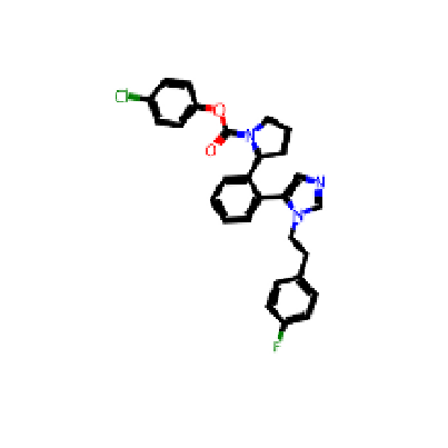 O=C(Oc1ccc(Cl)cc1)N1CCCC1c1ccccc1-c1cncn1CCc1ccc(F)cc1